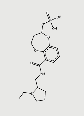 CCN1CCCC1CNC(=O)c1cccc2c1OCCC(OP(=O)(O)O)O2